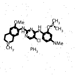 CNc1ccc(Nc2nc(Nc3cc4c(cc3OC)CCN(C)C4)ncc2Cl)c(OP(C)C)c1.P